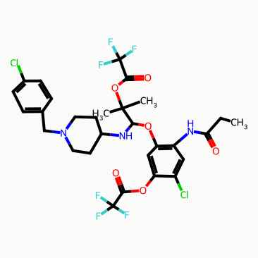 CCC(=O)Nc1cc(Cl)c(OC(=O)C(F)(F)F)cc1OC(NC1CCN(Cc2ccc(Cl)cc2)CC1)C(C)(C)OC(=O)C(F)(F)F